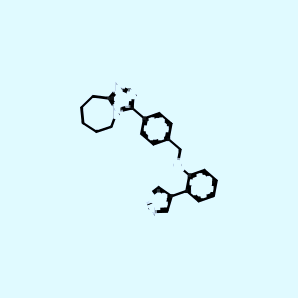 c1ccc(-c2cnoc2)c(OCc2ccc(-c3nnc4n3CCCCC4)cc2)c1